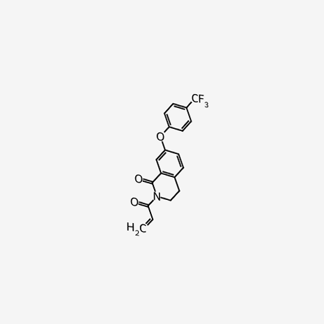 C=CC(=O)N1CCc2ccc(Oc3ccc(C(F)(F)F)cc3)cc2C1=O